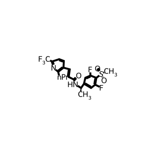 CCCc1nc(C(F)(F)F)ccc1C=CC(=O)N[C@H](C)c1cc(F)c(S(C)(=O)=O)c(F)c1